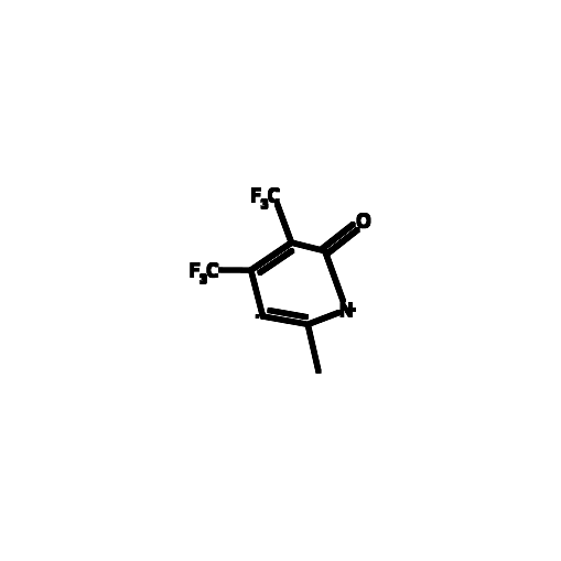 CC1=[C]C(C(F)(F)F)=C(C(F)(F)F)C(=O)[N]1